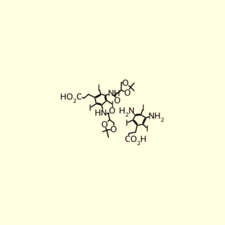 CC1(C)OCC(C(=O)Nc2c(I)c(CCC(=O)O)c(I)c(NC(=O)C3COC(C)(C)O3)c2I)O1.Nc1c(I)c(N)c(I)c(CCC(=O)O)c1I